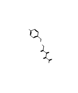 Cc1ccc(CO[C]C(=O)C(=O)C(=O)C(=O)[C]=O)cc1